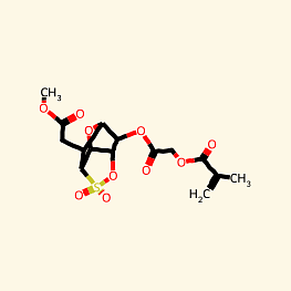 C=C(C)C(=O)OCC(=O)OC1C2OC3C1OS(=O)(=O)C3C2CC(=O)OC